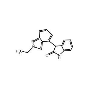 CCn1cc2c(C3C(=O)Nc4ccccc43)cccc2n1